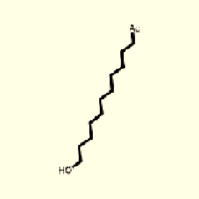 CC(=O)CCCCCCCCCCCO